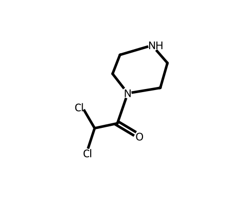 O=C(C(Cl)Cl)N1CCNCC1